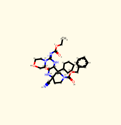 CCOC(=O)/N=C(\NC(CC1CCCCC1)C(=O)NC1(C#N)CCN(C(=O)OCc2ccccc2)CC1)N1CCOCC1